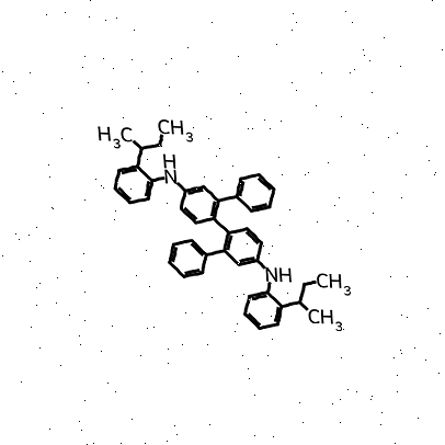 CCC(C)c1ccccc1Nc1ccc(-c2ccc(Nc3ccccc3C(C)CC)cc2-c2ccccc2)c(-c2ccccc2)c1